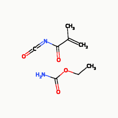 C=C(C)C(=O)N=C=O.CCOC(N)=O